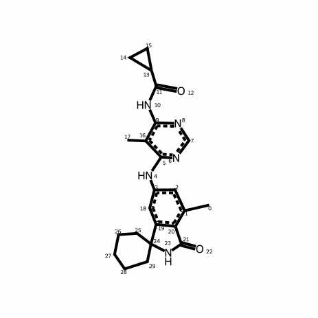 Cc1cc(Nc2ncnc(NC(=O)C3CC3)c2C)cc2c1C(=O)NC21CCCCC1